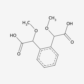 COC(C(=O)O)c1ccccc1C(OC)C(=O)O